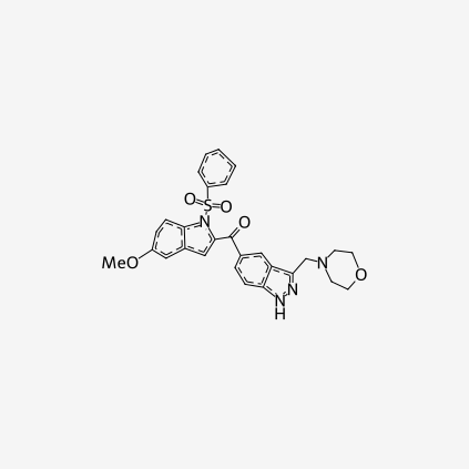 COc1ccc2c(c1)cc(C(=O)c1ccc3[nH]nc(CN4CCOCC4)c3c1)n2S(=O)(=O)c1ccccc1